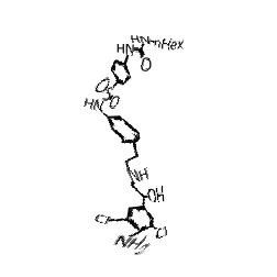 CCCCCCNC(=O)Nc1ccc(S(=O)(=O)Nc2ccc(CCNCC(O)c3cc(Cl)c(N)c(Cl)c3)cc2)cc1